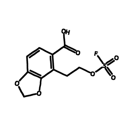 O=C(O)c1ccc2c(c1CCOS(=O)(=O)F)OCO2